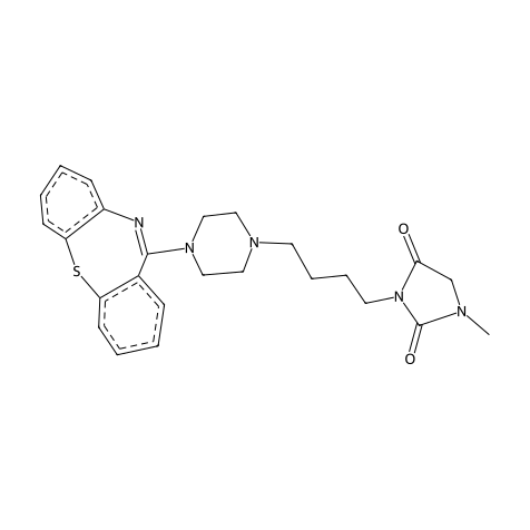 CN1CC(=O)N(CCCCN2CCN(C3=Nc4ccccc4Sc4ccccc43)CC2)C1=O